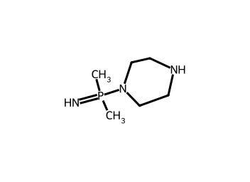 CP(C)(=N)N1CCNCC1